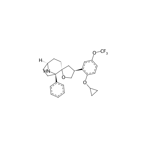 FC(F)(F)Oc1ccc(OC2CC2)c([C@H]2CO[C@]3(CC[C@@H]4CC[C@]3(c3ccccc3)N4)C2)c1